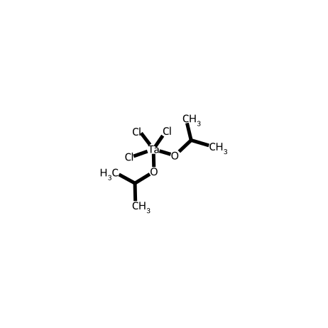 CC(C)[O][Ta]([Cl])([Cl])([Cl])[O]C(C)C